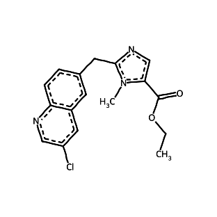 CCOC(=O)c1cnc(Cc2ccc3ncc(Cl)cc3c2)n1C